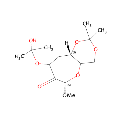 CO[C@H]1OC2COC(C)(C)O[C@H]2CC(OC(C)(C)O)C1=O